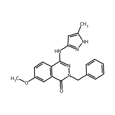 COc1ccc2c(Nc3cc(C)[nH]n3)nn(Cc3ccccc3)c(=O)c2c1